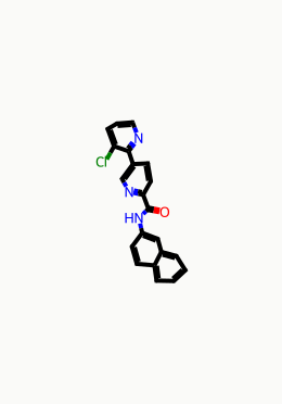 O=C(Nc1ccc2ccccc2c1)c1ccc(-c2ncccc2Cl)cn1